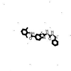 Cc1cccc(C)c1NC(=O)c1ccc2nc(NC(=O)N[C@H](C)c3ccccc3)sc2c1